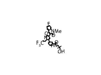 CNC(=O)c1c(-c2ccc(F)cc2)oc2nc(CCC(F)(F)F)c(-c3cccc(C(=O)NCC(C)(C)CO)c3)cc12